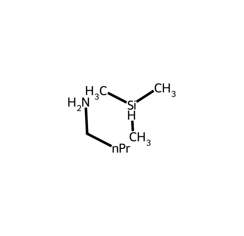 CCCCN.C[SiH](C)C